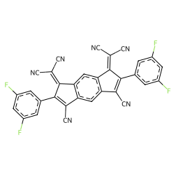 N#CC(C#N)=C1C(c2cc(F)cc(F)c2)=C(C#N)c2cc3c(cc21)C(=C(C#N)C#N)C(c1cc(F)cc(F)c1)=C3C#N